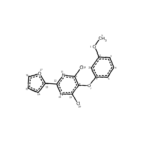 COc1cccc(Oc2c(Cl)nc(-c3ccco3)nc2Cl)c1